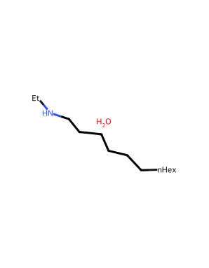 CCCCCCCCCCCCNCC.O